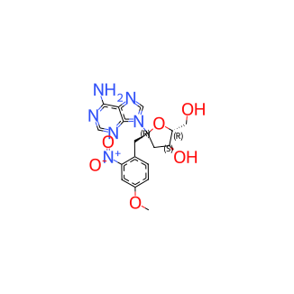 COc1ccc(C[C@]2(n3cnc4c(N)ncnc43)C[C@H](O)[C@@H](CO)O2)c([N+](=O)[O-])c1